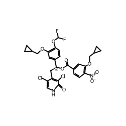 O=C(O[C@@H](Cc1c(Cl)c[nH]c(=O)c1Cl)c1ccc(OC(F)F)c(OCC2CC2)c1)c1ccc([N+](=O)[O-])c(OCC2CC2)c1